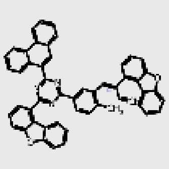 C=C/C(=C\c1cc(-c2nc(-c3cc4ccccc4c4ccccc34)nc(-c3cccc4oc5ccccc5c34)n2)ccc1C)c1cccc2oc3ccccc3c12